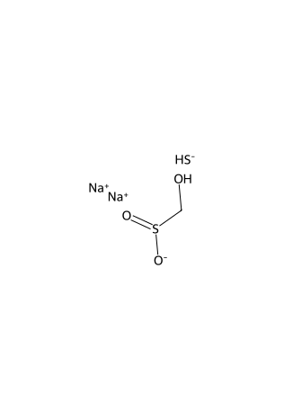 O=S([O-])CO.[Na+].[Na+].[SH-]